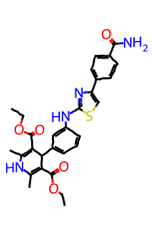 CCOC(=O)C1=C(C)NC(C)=C(C(=O)OCC)C1c1cccc(Nc2nc(-c3ccc(C(N)=O)cc3)cs2)c1